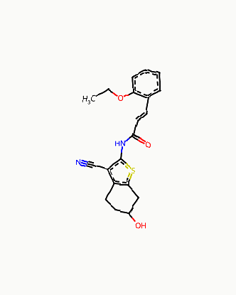 CCOc1ccccc1/C=C/C(=O)Nc1sc2c(c1C#N)CCC(O)C2